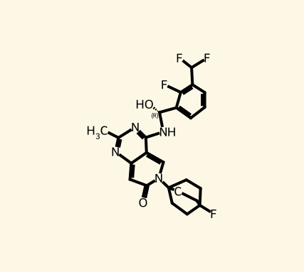 Cc1nc(N[C@H](O)c2cccc(C(F)F)c2F)c2cn(C34CCC(F)(CC3)CC4)c(=O)cc2n1